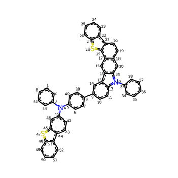 c1ccc(N(c2ccc(-c3ccc4c(c3)c3cc5c(ccc6c7ccccc7sc56)cc3n4-c3ccccc3)cc2)c2ccc3c(c2)sc2ccccc23)cc1